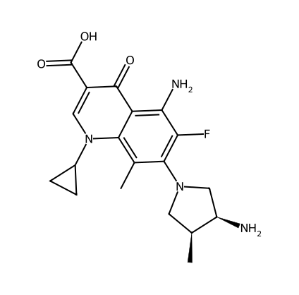 Cc1c(N2C[C@@H](N)[C@@H](C)C2)c(F)c(N)c2c(=O)c(C(=O)O)cn(C3CC3)c12